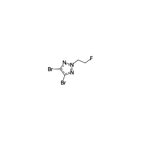 FCCn1nc(Br)c(Br)n1